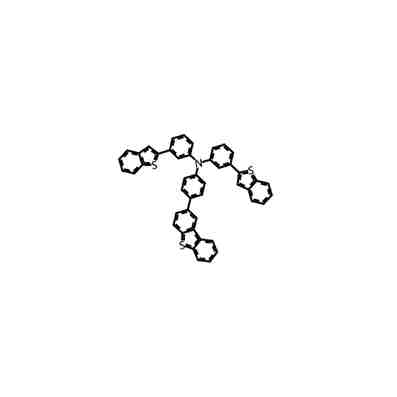 c1cc(-c2cc3ccccc3s2)cc(N(c2ccc(-c3ccc4sc5ccccc5c4c3)cc2)c2cccc(-c3cc4ccccc4s3)c2)c1